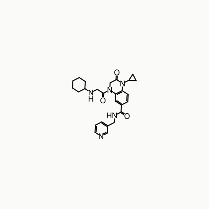 O=C(NCc1cccnc1)c1ccc2c(c1)N(C(=O)CNC1CCCCC1)CC(=O)N2C1CC1